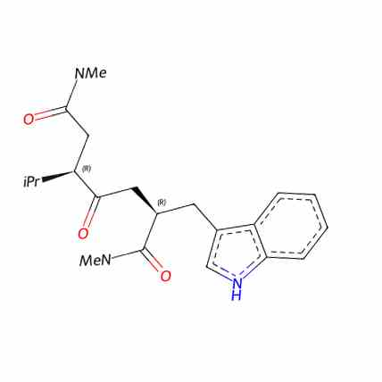 CNC(=O)C[C@@H](C(=O)C[C@@H](Cc1c[nH]c2ccccc12)C(=O)NC)C(C)C